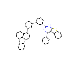 c1ccc(-c2nc(-c3cccc(-c4cccc(-c5ccc6c7c(cccc57)-c5ccccc5-6)c4)c3)nc3sc4ccccc4c23)cc1